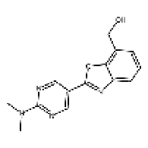 CN(C)c1ncc(-c2nc3cccc(CO)c3o2)cn1